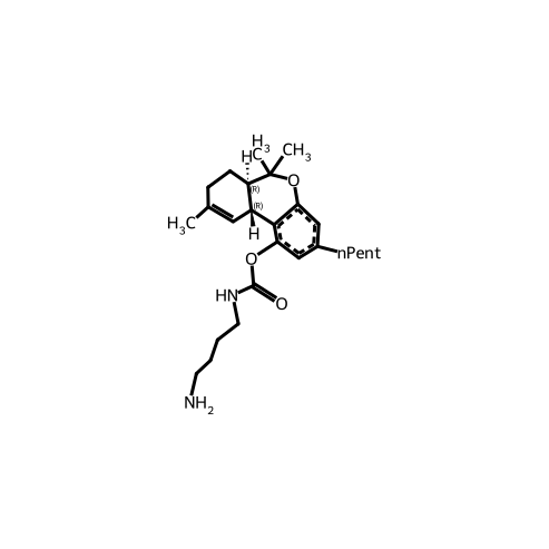 CCCCCc1cc(OC(=O)NCCCCN)c2c(c1)OC(C)(C)[C@@H]1CCC(C)=C[C@@H]21